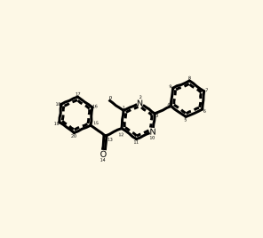 Cc1nc(-c2ccccc2)ncc1C(=O)c1ccccc1